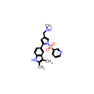 CNCc1cc(-c2ccc3[nH]c(C)c(C)c3c2)n(S(=O)(=O)c2cccnc2)c1